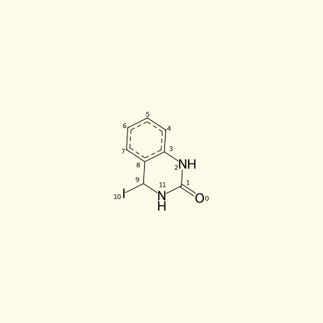 O=C1Nc2ccccc2C(I)N1